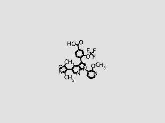 COc1ncccc1-n1cc(-c2ccc(C(=O)O)cc2OC(F)(F)F)c2cc(-c3c(C)noc3C)cnc21